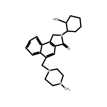 CN1CCN(Cc2cc3c(c4ccccc24)CN(C2CCCCC2O)C3=O)CC1